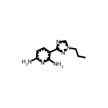 CCCn1cnc(-c2ccc(N)nc2N)n1